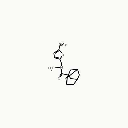 CSc1ccc(CN(C)C(=O)C23CC4CC(CC(C4)C2)C3)s1